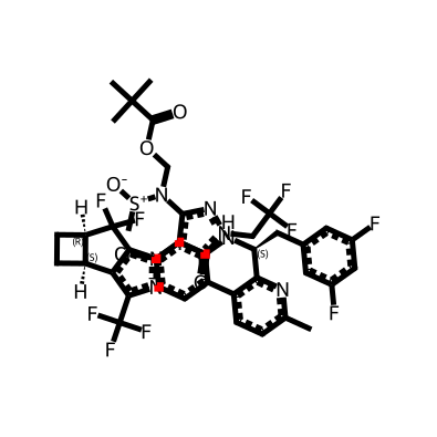 Cc1ccc(-c2ccc(Cl)c3c(N(COC(=O)C(C)(C)C)[S+](C)[O-])nn(CC(F)(F)F)c23)c([C@H](Cc2cc(F)cc(F)c2)NC(=O)Cn2nc(C(F)(F)F)c3c2C(F)(F)[C@@H]2CC[C@H]32)n1